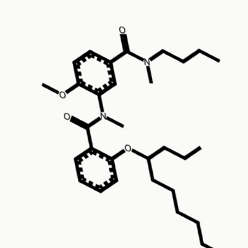 CCCCCCC(CCC)Oc1ccccc1C(=O)N(C)c1cc(C(=O)N(C)CCCC)ccc1OC